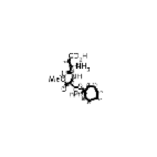 CCCC1(SC[C@H](NC(=O)[C@@H](N)CC(=O)O)C(=O)OC)CCCCCC1